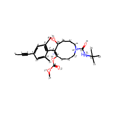 CC#Cc1cc(C)c(/C2=C(\OC(=O)OC)CCCN(C(=O)NC(C)(C)C)CCCC2O)c(C)c1